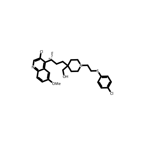 COc1ccc2ncc(Cl)c([C@H](F)CCC3(CO)CCN(CCSc4ccc(Cl)cc4)CC3)c2c1